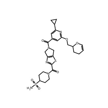 NS(=O)(=O)C1CCN(C(=O)c2nc3c(s2)CN(C(=O)c2cc(OCC4CCC=CO4)nc(C4CC4)c2)C3)CC1